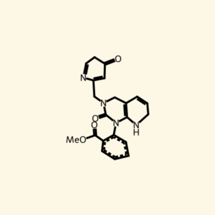 COC(=O)c1ccccc1N1C(=O)N(CC2=CC(=O)CC=N2)CC2=C1NCC=C2